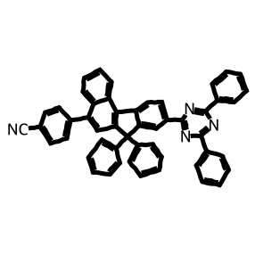 N#Cc1ccc(-c2cc3c(c4ccccc24)-c2ccc(-c4nc(-c5ccccc5)nc(-c5ccccc5)n4)cc2C3(c2ccccc2)c2ccccc2)cc1